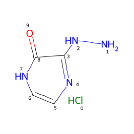 Cl.NNc1ncc[nH]c1=O